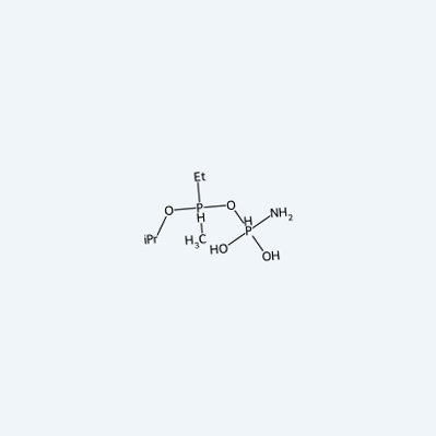 CC[PH](C)(OC(C)C)O[PH](N)(O)O